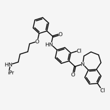 CC(C)NCCCCOc1ccccc1C(=O)Nc1ccc(C(=O)N2CCCCc3cc(Cl)ccc32)c(Cl)c1